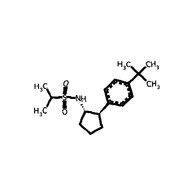 CC(C)S(=O)(=O)N[C@H]1CCC[C@@H]1c1ccc(C(C)(C)C)cc1